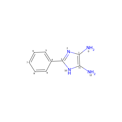 Nc1nc(-c2ccccc2)[nH]c1N